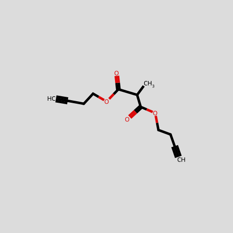 C#CCCOC(=O)C(C)C(=O)OCCC#C